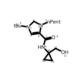 CCCCCN1CN(C(C)(C)C)C=C1C(=O)NC1(CO)CC1